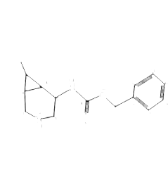 CC1C2CNCC(NC(=O)OCc3ccccc3)C12